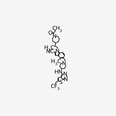 C=CC(=O)N1CCCC(C(C)Cn2c(C#N)cc3c(C)c(CN4CCC(Nc5ncnc6sc(CC(F)(F)F)cc56)CC4)ccc32)CC1